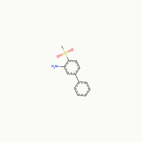 CS(=O)(=O)c1ccc(-c2ccccc2)cc1N